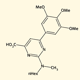 CCCCCCN(C)c1nc(C(=O)O)cc(-c2cc(OC)c(OC)c(OC)c2)n1